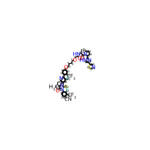 CC(C)(C)C(NC(=O)COCCCCOc1ccc(-c2ncc(N3C(=S)N(c4ccc(C#N)c(C(F)(F)F)c4F)C(=O)C3(C)C)cc2F)c(C(F)(F)F)c1)C(=O)N1CCCC1c1nc(-c2cncs2)c[nH]1